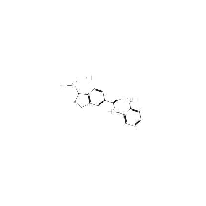 CCN(C(=O)O)C1CCc2cc(C(=O)Nc3ccccc3N)ccc21